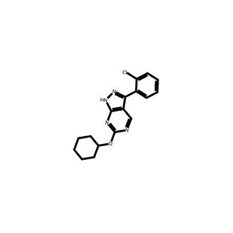 Clc1ccccc1-c1n[nH]c2nc(OC3CCCCC3)ncc12